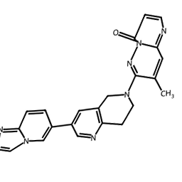 Cc1cc2nccc(=O)n2nc1N1CCc2ncc(-c3ccc4nccn4c3)cc2C1